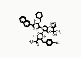 CC(C)(O)c1cnnn1[C@H]1C[C@@H](C(=O)NC(Cc2ccc([N+](=O)[O-])cc2)C(O)C(N)=O)N(C(=O)[C@@H](CC2CCCCC2)NC(=O)c2ccc3ccccc3c2)C1